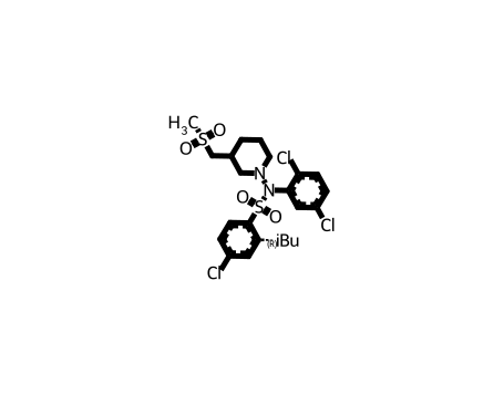 CC[C@@H](C)c1cc(Cl)ccc1S(=O)(=O)N(c1cc(Cl)ccc1Cl)N1CCCC(CS(C)(=O)=O)C1